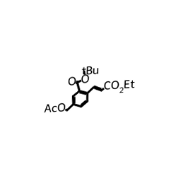 CCOC(=O)C=Cc1ccc(COC(C)=O)cc1C(=O)OC(C)(C)C